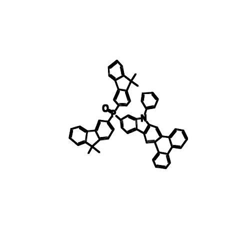 CC1(C)c2ccccc2-c2cc(P(=O)(c3ccc4c(c3)-c3ccccc3C4(C)C)c3ccc4c5cc6c7ccccc7c7ccccc7c6cc5n(-c5ccccc5)c4c3)ccc21